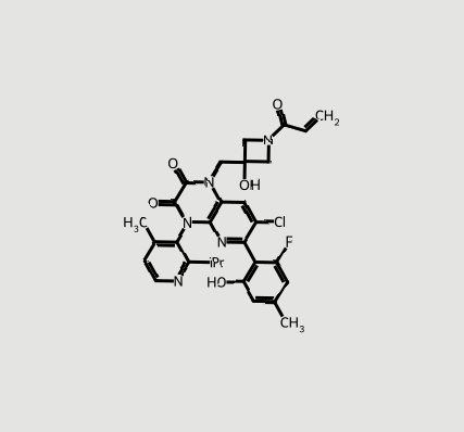 C=CC(=O)N1CC(O)(Cn2c(=O)c(=O)n(-c3c(C)ccnc3C(C)C)c3nc(-c4c(O)cc(C)cc4F)c(Cl)cc32)C1